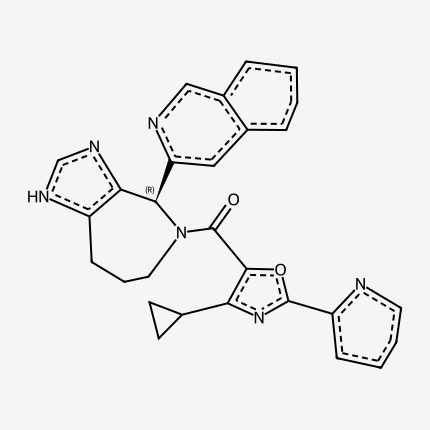 O=C(c1oc(-c2ccccn2)nc1C1CC1)N1CCCc2[nH]cnc2[C@H]1c1cc2ccccc2cn1